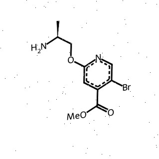 COC(=O)c1cc(OC[C@H](C)N)ncc1Br